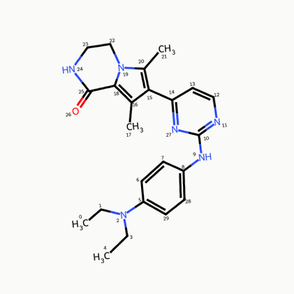 CCN(CC)c1ccc(Nc2nccc(-c3c(C)c4n(c3C)CCNC4=O)n2)cc1